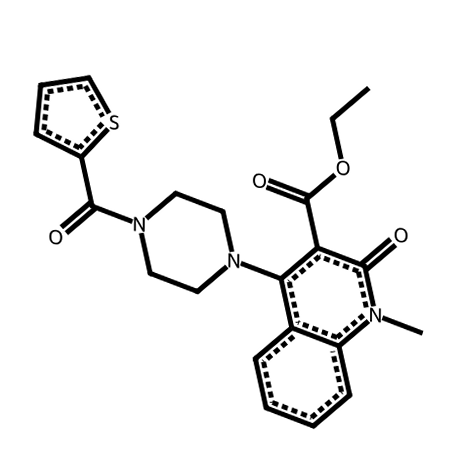 CCOC(=O)c1c(N2CCN(C(=O)c3cccs3)CC2)c2ccccc2n(C)c1=O